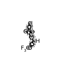 O=C1CC(N2CCC(Nc3ccc(OC(F)(F)F)cc3)CC2)C(=O)N1c1ccc(Cl)cc1